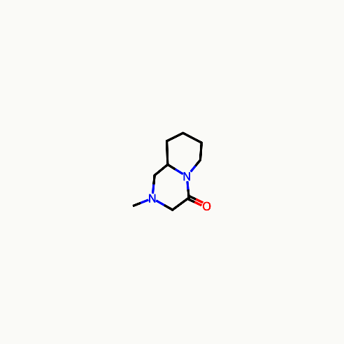 CN1CC(=O)N2CCCCC2C1